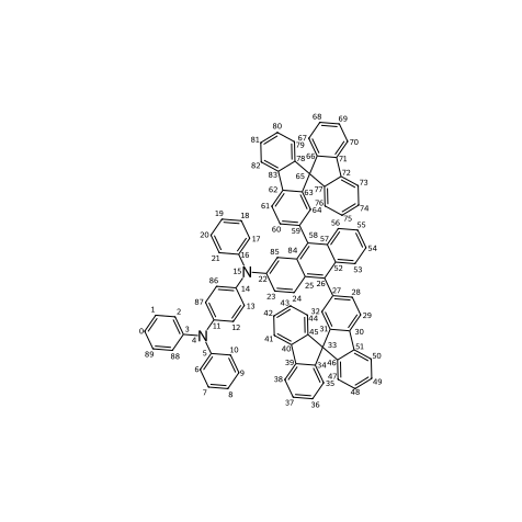 c1ccc(N(c2ccccc2)c2ccc(N(c3ccccc3)c3ccc4c(-c5ccc6c(c5)C5(c7ccccc7-c7ccccc75)c5ccccc5-6)c5ccccc5c(-c5ccc6c(c5)C5(c7ccccc7-c7ccccc75)c5ccccc5-6)c4c3)cc2)cc1